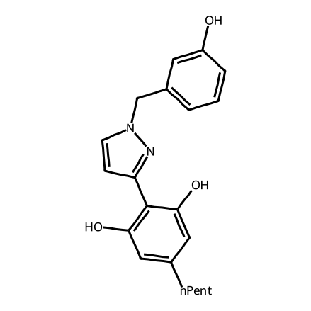 CCCCCc1cc(O)c(-c2ccn(Cc3cccc(O)c3)n2)c(O)c1